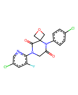 O=C1CN(c2ncc(Cl)cc2F)C(=O)C2(COC2)N1c1ccc(Cl)cc1